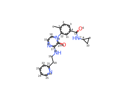 Cc1ccc(C(=O)NC2CC2)cc1-n1ccnc(NCCc2ccccn2)c1=O